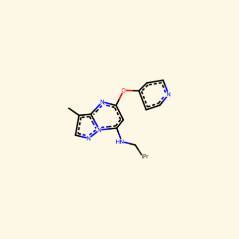 Cc1cnn2c(NCC(C)C)cc(Oc3ccncc3)nc12